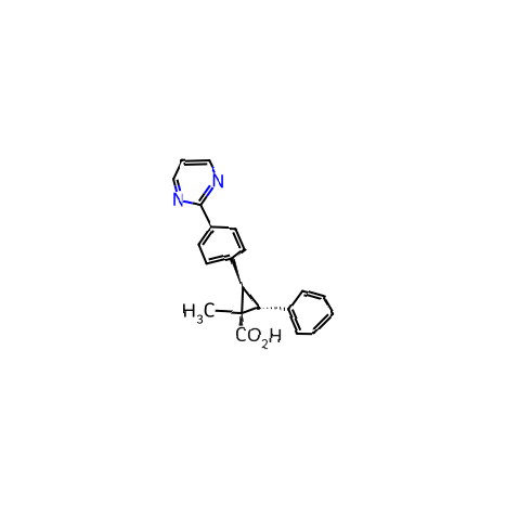 C[C@@]1(C(=O)O)[C@@H](c2ccccc2)[C@@H]1c1ccc(-c2ncccn2)cc1